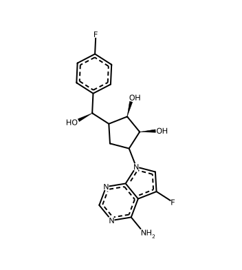 Nc1ncnc2c1c(F)cn2C1CC([C@@H](O)c2ccc(F)cc2)[C@@H](O)[C@H]1O